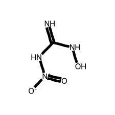 N=C(NO)N[N+](=O)[O-]